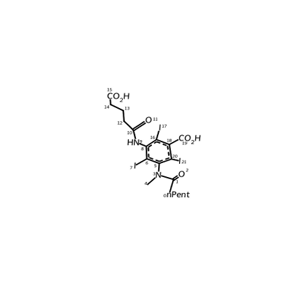 CCCCCC(=O)N(C)c1c(I)c(NC(=O)CCCC(=O)O)c(I)c(C(=O)O)c1I